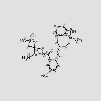 Cc1ccc2nc(N3CCS(O)(O)c4ccccc4C3)cc(NCC3(CN)CS(O)(O)C3)c2c1